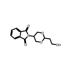 O=C1c2ccccc2C(=O)N1C1COC(CCO)OC1